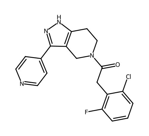 O=C(Cc1c(F)cccc1Cl)N1CCc2[nH]nc(-c3ccncc3)c2C1